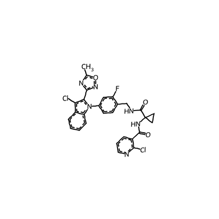 Cc1nc(-c2c(Cl)c3ccccc3n2-c2ccc(CNC(=O)C3(NC(=O)c4cccnc4Cl)CC3)c(F)c2)no1